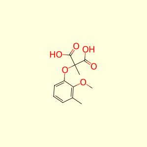 COc1c(C)cccc1OC(C)(C(=O)O)C(=O)O